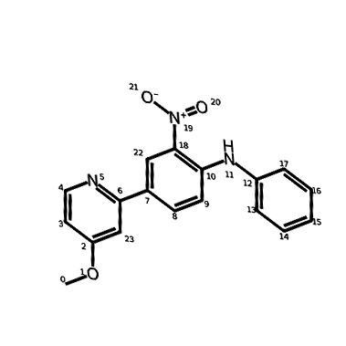 COc1ccnc(-c2ccc(Nc3ccccc3)c([N+](=O)[O-])c2)c1